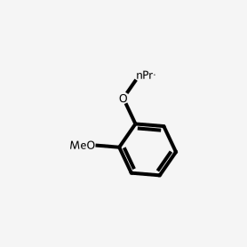 CC[CH]Oc1ccccc1OC